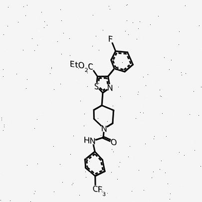 CCOC(=O)c1sc(C2CCN(C(=O)Nc3ccc(C(F)(F)F)cc3)CC2)nc1-c1cccc(F)c1